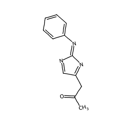 CC(=O)CC1=NC(=Nc2ccccc2)N=C1